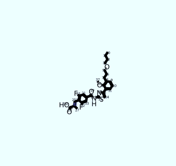 CCCCOCCCc1cccc(-c2csc(NC(=O)c3cc(F)c(/C=C(\C)C(=O)O)c(F)c3)n2)c1OC